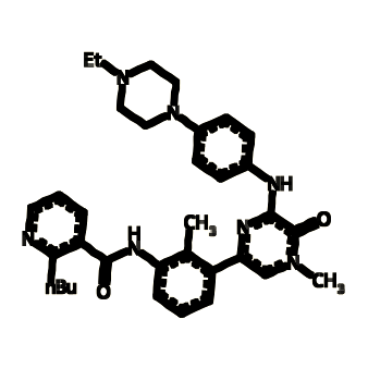 CCCCc1ncccc1C(=O)Nc1cccc(-c2cn(C)c(=O)c(Nc3ccc(N4CCN(CC)CC4)cc3)n2)c1C